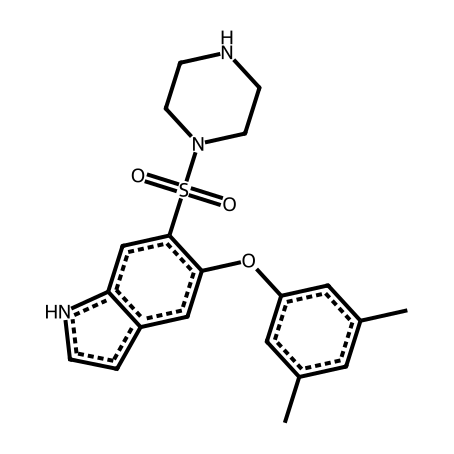 Cc1cc(C)cc(Oc2cc3cc[nH]c3cc2S(=O)(=O)N2CCNCC2)c1